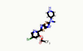 CN(c1nc2sc(-c3ncc(Br)cc3OC(=O)C(F)(F)F)nc2s1)C1CCNCC1